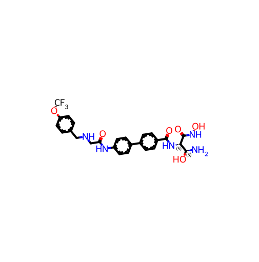 N[C@@H](O)[C@H](NC(=O)c1ccc(-c2ccc(NC(=O)CNCc3ccc(OC(F)(F)F)cc3)cc2)cc1)C(=O)NO